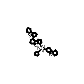 c1ccc(-c2nc(-c3ccc4c(c3)oc3ccccc34)nc(-c3cccc4c3oc3cccc(-c5cccc6c5sc5ccccc56)c34)n2)cc1